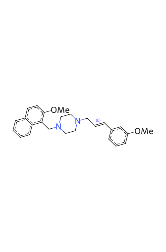 COc1cccc(/C=C/CN2CCN(Cc3c(OC)ccc4ccccc34)CC2)c1